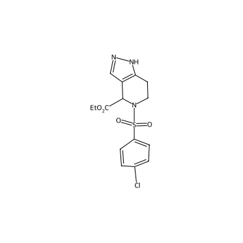 CCOC(=O)C1c2cn[nH]c2CCN1S(=O)(=O)c1ccc(Cl)cc1